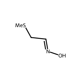 CSC/C=N/O